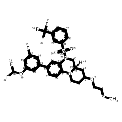 CSCCOC1CCN2c3ccc(-c4cc(F)cc(OC(F)F)c4)cc3N(S(=O)(=O)c3cccc(C(F)(F)F)c3)C[C@@H]2C1